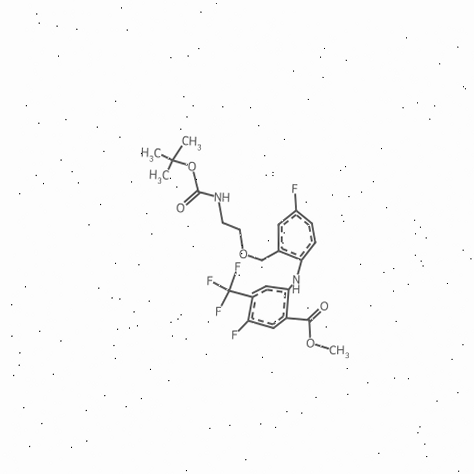 COC(=O)c1cc(F)c(C(F)(F)F)cc1Nc1ccc(F)cc1COCCNC(=O)OC(C)(C)C